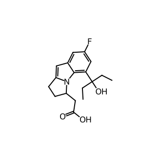 CCC(O)(CC)c1cc(F)cc2cc3n(c12)C(CC(=O)O)CC3